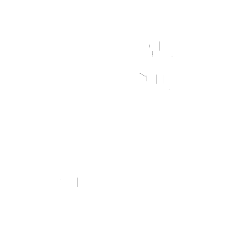 C=CCC(=C)CCCCCCCCCCCCCC